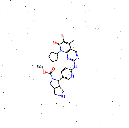 Cc1c(Br)c(=O)n(C2CCCC2)c2nc(Nc3ccc(C4C5CNCC5CN4C(=O)OC(C)(C)C)cn3)ncc12